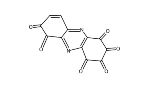 O=C1C=Cc2nc3c(=O)c(=O)c(=O)c(=O)c3nc2C1=O